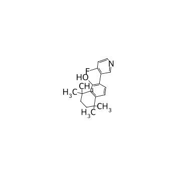 CC1(C)CCC(C)(C)c2c1ccc(-c1cnccc1F)c2O